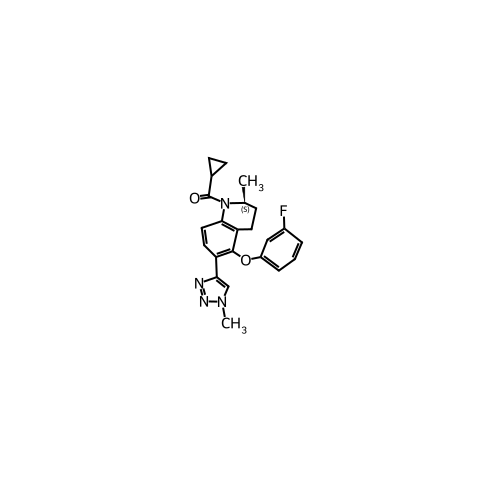 C[C@H]1CCc2c(ccc(-c3cn(C)nn3)c2Oc2cccc(F)c2)N1C(=O)C1CC1